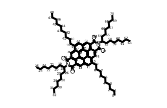 CCCCCCCCCCc1cc2cc3c(=O)n(C(CCCCCCC)CCCCCCC)c(=O)c4cc5c(CCCCCCCCCC)cc6cc7c(=O)n(C(CCCCCCC)CCCCCCC)c(=O)c8cc1c1c2c(c34)c5c6c1c78